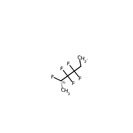 [CH2]CC(F)(F)C(F)(F)[C@H](C)F